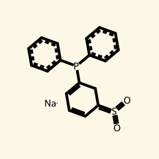 O=S(=O)=C1C=CC=C(P(c2ccccc2)c2ccccc2)C1.[Na]